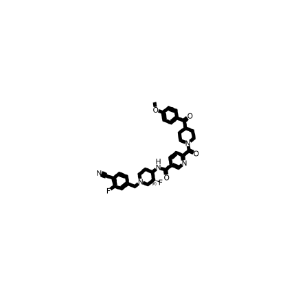 COc1ccc(C(=O)C2CCN(C(=O)c3ccc(C(=O)NC4CCN(Cc5ccc(C#N)c(F)c5)C[C@H]4F)cn3)CC2)cc1